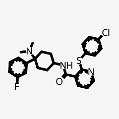 CN(C)C1(c2cccc(F)c2)CCC(NC(=O)c2cccnc2Sc2ccc(Cl)cc2)CC1